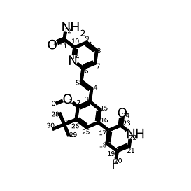 COc1c(/C=C/c2cc[c]c(C(N)=O)n2)cc(-c2cc(F)c[nH]c2=O)cc1C(C)(C)C